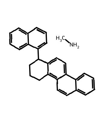 CN.c1ccc2c(C3CCCc4c3ccc3c4ccc4ccccc43)cccc2c1